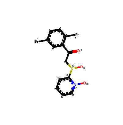 CC(C)c1ccc(C(C)C)c(C(=O)C[S+]([O-])c2cccc[n+]2[O-])c1